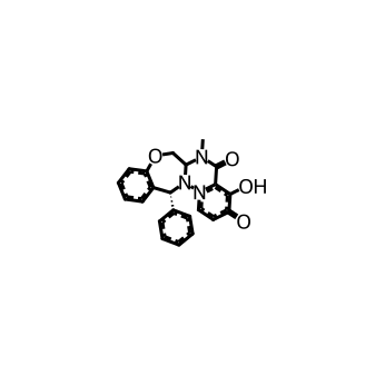 CN1C(=O)c2c(O)c(=O)ccn2N2C1COc1ccccc1[C@H]2c1ccccc1